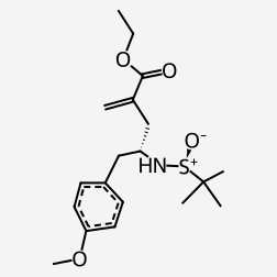 C=C(C[C@@H](Cc1ccc(OC)cc1)N[S@@+]([O-])C(C)(C)C)C(=O)OCC